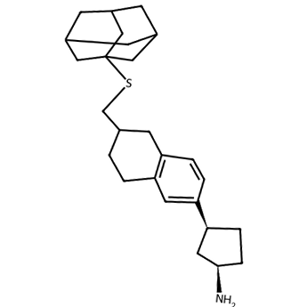 N[C@@H]1CC[C@H](c2ccc3c(c2)CCC(CSC24CC5CC(CC(C5)C2)C4)C3)C1